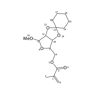 C=C(C)C(=O)OCC1OC(OC)C2OC3(CCCCC3)OC12